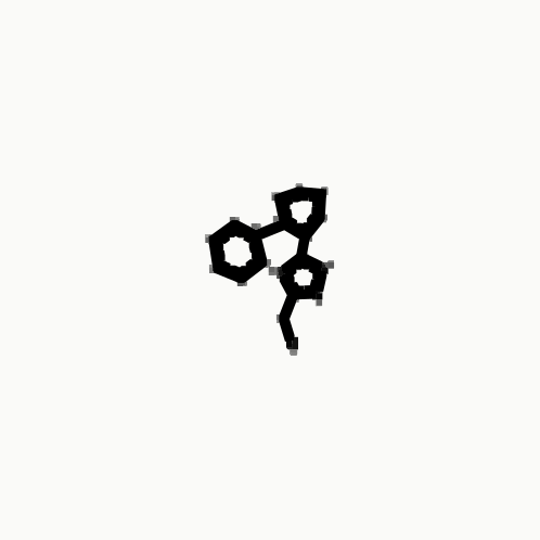 ClCc1nnc(-c2ccccc2-c2ccccc2)s1